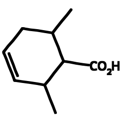 CC1C=CCC(C)C1C(=O)O